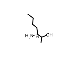 CCCC[C@@H](N)C(C)O